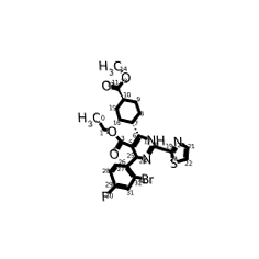 CCOC(=O)C1=C([C@H]2CC[C@H](C(=O)OC)CC2)NC(c2nccs2)=NC1c1ccc(F)cc1Br